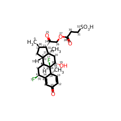 C[C@@H]1C[C@H]2[C@@H]3C[C@H](F)C4=CC(=O)C=C[C@]4(C)[C@@]3(F)[C@@H](O)C[C@]2(C)[C@H]1C(=O)COC(=O)CCS(=O)(=O)O